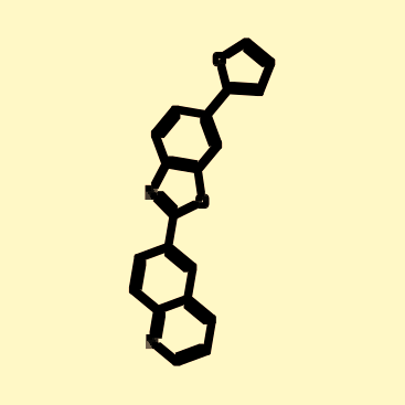 c1coc(-c2ccc3nc(-c4ccc5ncccc5c4)oc3c2)c1